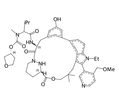 CCn1c(-c2cnccc2COC)c2c3cc(ccc31)-c1cc(O)cc(c1)C[C@H](NC(=O)C(C(C)C)N(C)C(=O)O[C@@H]1CCOC1)C(=O)N1CCC[C@H](N1)C(=O)OCC(C)(C)C2